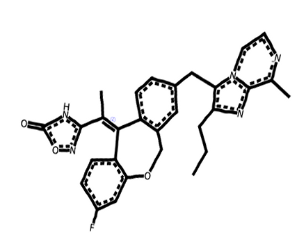 CCCc1nc2c(C)nccn2c1Cc1ccc2c(c1)COc1cc(F)ccc1/C2=C(/C)c1noc(=O)[nH]1